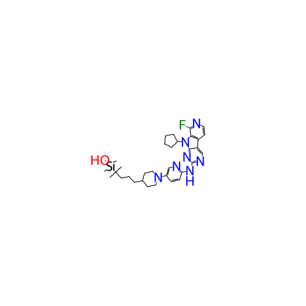 CC(C)(CCCC1CCN(c2ccc(Nc3ncc4c5ccnc(F)c5n(C5CCCC5)c4n3)nc2)CC1)[Si](C)(C)O